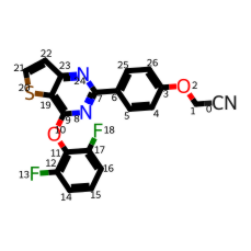 N#CCOc1ccc(-c2nc(Oc3c(F)cccc3F)c3sccc3n2)cc1